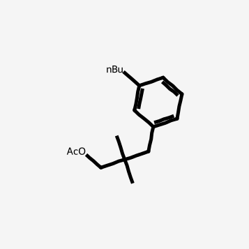 CCCCc1cccc(CC(C)(C)COC(C)=O)c1